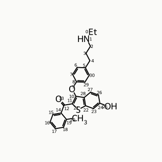 CCNCCCc1ccc(Oc2c(C(=O)c3ccccc3C)sc3cc(O)ccc23)cc1